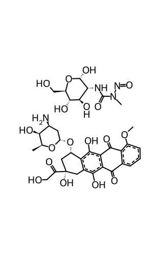 CN(N=O)C(=O)N[C@@H]1[C@@H](O)[C@H](O)[C@@H](CO)O[C@@H]1O.COc1cccc2c1C(=O)c1c(O)c3c(c(O)c1C2=O)C[C@@](O)(C(=O)CO)C[C@@H]3O[C@H]1C[C@H](N)[C@H](O)[C@H](C)O1